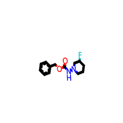 O=C(NN1CCCC(F)C1)OCc1ccccc1